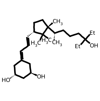 CCC(O)(CC)CCC[C@H](C)[C@@]1(C)CC[C@@H](C=CC=C2C[C@@H](O)C[C@H](O)C2)C1(C)C